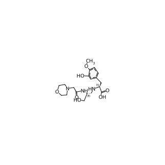 COc1ccc(C[C@H](NC[C@H](CO)NC(=O)CN2CCOCC2)C(=O)O)cc1O